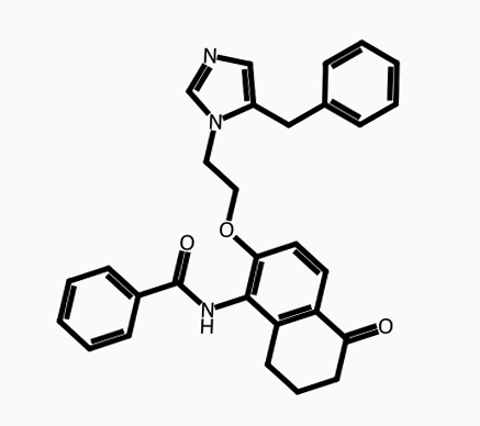 O=C(Nc1c(OCCn2cncc2Cc2ccccc2)ccc2c1CCCC2=O)c1ccccc1